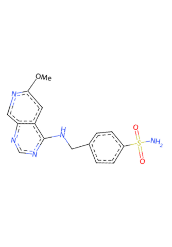 COc1cc2c(NCc3ccc(S(N)(=O)=O)cc3)ncnc2cn1